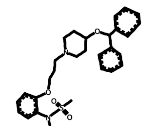 CN(c1ccccc1OCCCN1CCC(OC(c2ccccc2)c2ccccc2)CC1)S(C)(=O)=O